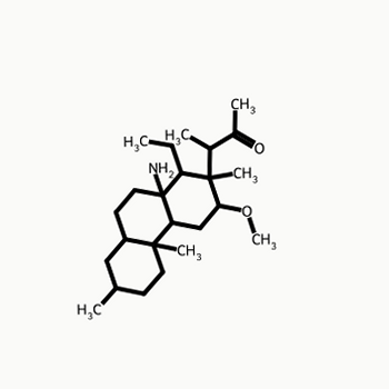 CCC1C2(N)CCC3CC(C)CCC3(C)C2CC(OC)C1(C)C(C)C(C)=O